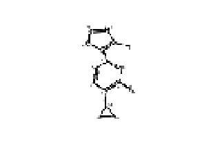 Cc1ncoc1-c1ccc(C2CC2)c(F)c1